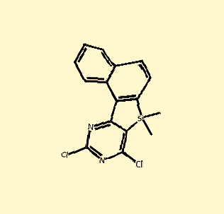 C[Si]1(C)c2ccc3ccccc3c2-c2nc(Cl)nc(Cl)c21